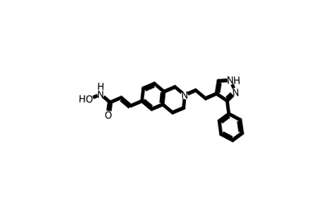 O=C(/C=C/c1ccc2c(c1)CCN(CCc1c[nH]nc1-c1ccccc1)C2)NO